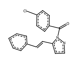 O=C(c1ccc(Cl)cc1)n1nccc1C=Cc1ccccc1